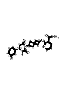 NC(=O)c1cccnc1OC1CC2(C1)CC(N1C(=O)C[C@H](c3cccc(Br)c3)NC1=O)C2